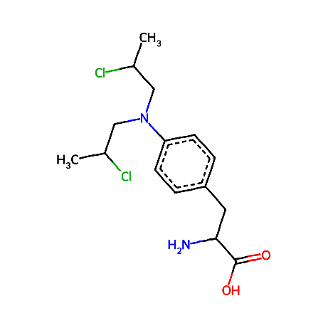 CC(Cl)CN(CC(C)Cl)c1ccc(CC(N)C(=O)O)cc1